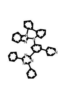 c1ccc(-c2nc(-c3ccccc3)nc(-c3cc(-c4ccncc4)cc(N4c5ccccc5-c5ccccc5-n5c4nc4ccccc45)c3)n2)cc1